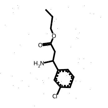 CCCOC(=O)CC(N)c1cccc(Cl)c1